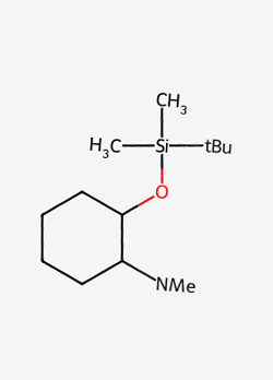 CNC1CCCCC1O[Si](C)(C)C(C)(C)C